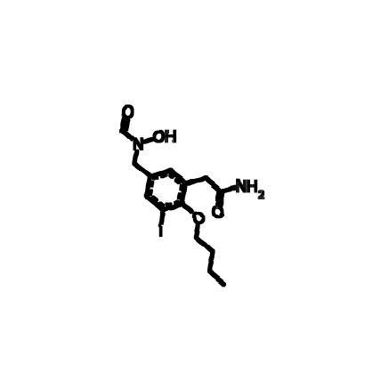 CCCCOc1c(I)cc(CN(O)C=O)cc1CC(N)=O